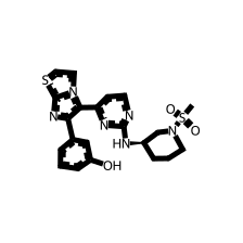 CS(=O)(=O)N1CCC[C@@H](Nc2nccc(-c3c(-c4cccc(O)c4)nc4sccn34)n2)C1